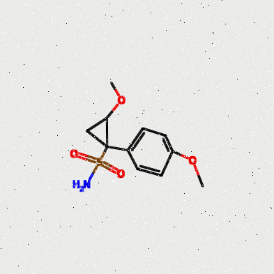 COc1ccc(C2(S(N)(=O)=O)CC2OC)cc1